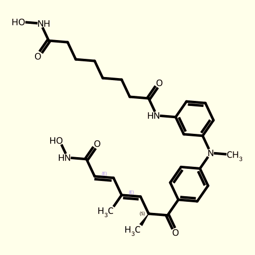 CC(/C=C/C(=O)NO)=C\[C@H](C)C(=O)c1ccc(N(C)c2cccc(NC(=O)CCCCCCC(=O)NO)c2)cc1